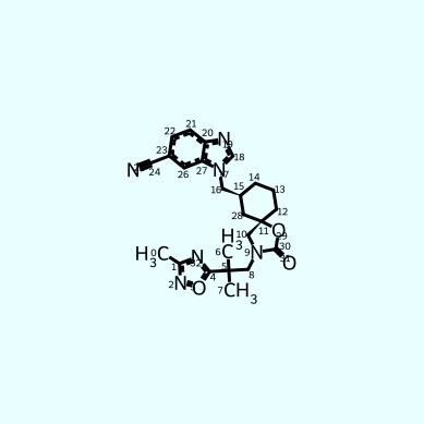 Cc1noc(C(C)(C)CN2C[C@@]3(CCC[C@H](Cn4cnc5ccc(C#N)cc54)C3)OC2=O)n1